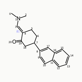 CN(C)/C=C1\CCC(c2ccc3ccccc3c2)CC1=O